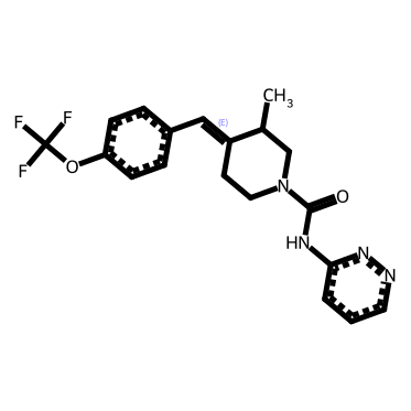 CC1CN(C(=O)Nc2cccnn2)CC/C1=C\c1ccc(OC(F)(F)F)cc1